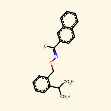 CC(=NOCc1ccccc1C(C(=O)O)C(=O)O)c1ccc2ccccc2c1